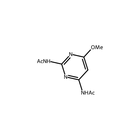 COc1cc(NC(C)=O)nc(NC(C)=O)n1